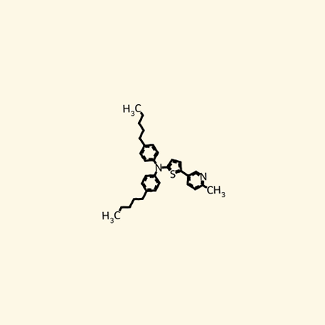 CCCCCc1ccc(N(c2ccc(CCCCC)cc2)c2ccc(-c3ccc(C)nc3)s2)cc1